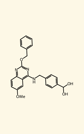 COc1ccc2nc(OCc3ccccc3)nc(NCc3ccc(C(O)O)cc3)c2c1